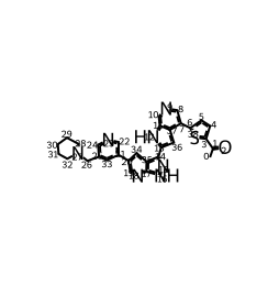 CC(=O)c1ccc(-c2cncc3[nH]c(-c4n[nH]c5ncc(-c6cncc(CN7CCCCC7)c6)cc45)cc23)s1